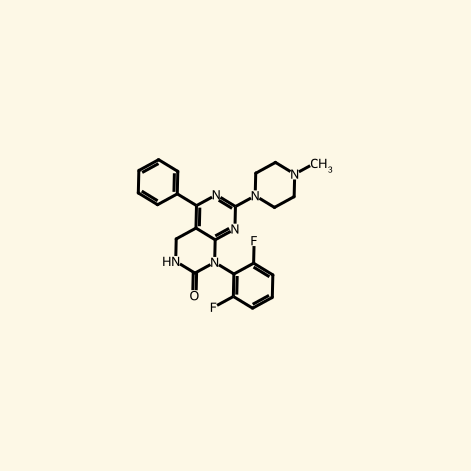 CN1CCN(c2nc(-c3ccccc3)c3c(n2)N(c2c(F)cccc2F)C(=O)NC3)CC1